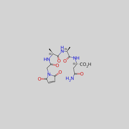 C[C@H](NC(=O)CN1C(=O)C=CC1=O)C(=O)N[C@@H](C)C(=O)N[C@@H](CC(N)=O)C(=O)O